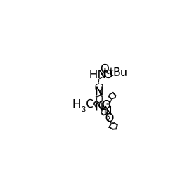 Cc1cn(-c2ccc(OCc3ccccc3)nc2OCc2ccccc2)c2ccc(N3CCC(CCNC(=O)OC(C)(C)C)CC3)cc12